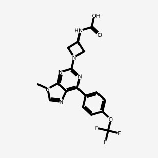 Cn1cnc2c(-c3ccc(OC(F)(F)F)cc3)nc(N3CC(NC(=O)O)C3)nc21